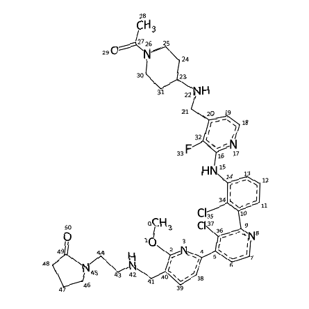 COc1nc(-c2ccnc(-c3cccc(Nc4nccc(CNC5CCN(C(C)=O)CC5)c4F)c3Cl)c2Cl)ccc1CNCCN1CCCC1=O